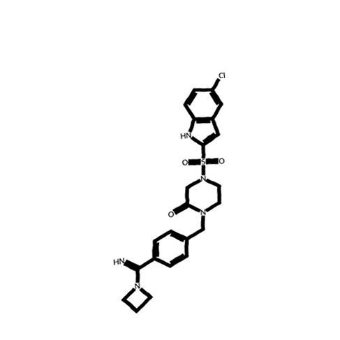 N=C(c1ccc(CN2CCN(S(=O)(=O)c3cc4cc(Cl)ccc4[nH]3)CC2=O)cc1)N1CCC1